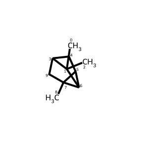 CC1(C)C2CC3C1C3(C)C2